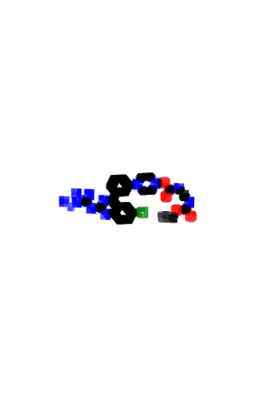 CC(C)(C)OC(=O)N=C=NC(=O)ON1CCN(c2cccc(-c3nc(N=C(N)N)nc4ccc(Cl)cc34)c2)CC1